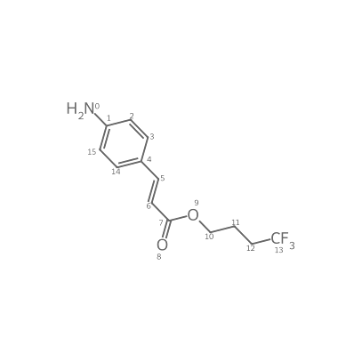 Nc1ccc(C=CC(=O)OCCCC(F)(F)F)cc1